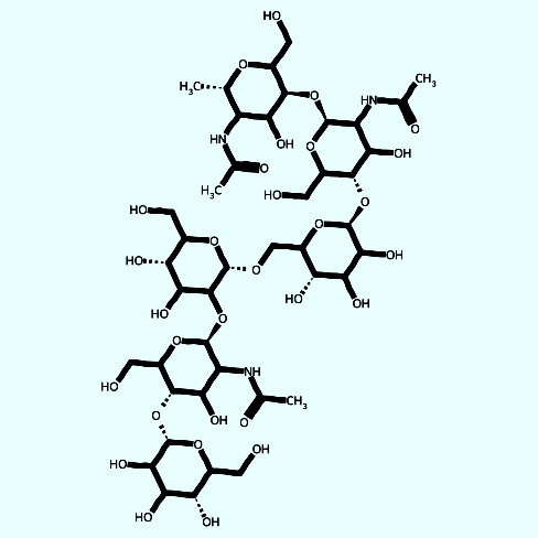 CC(=O)NC1C(O)[C@H](O[C@@H]2OC(CO[C@H]3OC(CO)[C@@H](O)C(O)C3O[C@@H]3OC(CO)[C@@H](O[C@@H]4OC(CO)[C@H](O)C(O)C4O)C(O)C3NC(C)=O)[C@@H](O)C(O)C2O)C(CO)O[C@H]1O[C@@H]1C(CO)O[C@@H](C)C(NC(C)=O)C1O